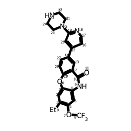 CCc1cc2c(cc1OC(F)(F)F)NC(=O)c1cc(-c3ccnc(N4CCNCC4)c3)ccc1O2